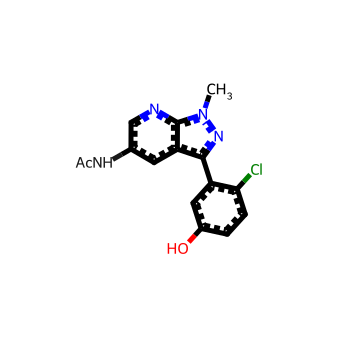 CC(=O)Nc1cnc2c(c1)c(-c1cc(O)ccc1Cl)nn2C